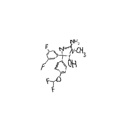 CN1C(N)=NC(c2ccc(OC(F)F)cc2)(c2cc(F)cc(F)c2)C1O